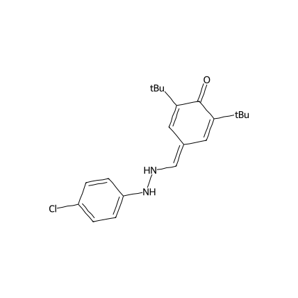 CC(C)(C)C1=CC(=CNNc2ccc(Cl)cc2)C=C(C(C)(C)C)C1=O